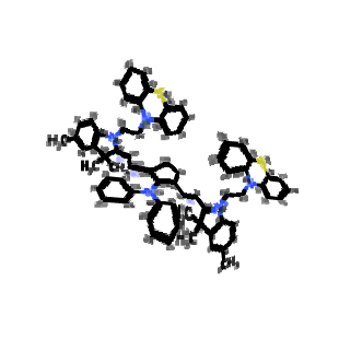 Cc1ccc2c(c1)C(C)(C)C(/C=C/C1=C(N(c3ccccc3)c3ccccc3)C(=C/C=C3/N(CCN4c5ccccc5Sc5ccccc54)c4ccc(C)cc4C3(C)C)/CC1)=[N+]2CCN1c2ccccc2Sc2ccccc21